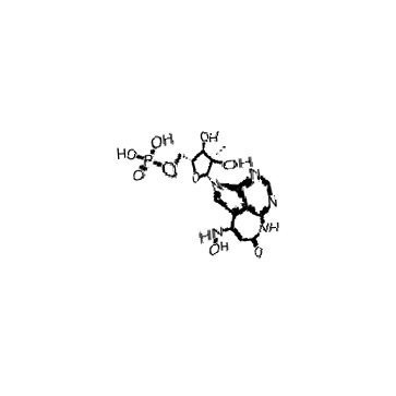 C[C@@]1(O)[C@H](O)[C@@H](COP(=O)(O)O)O[C@H]1n1cc2c3c(ncnc31)NC(=O)C=C2NO